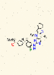 CNC(=O)c1ccc(-c2cc(F)c(Nc3ncc(C)c(N(C(C)=O)c4cnc5ccccc5c4)n3)cc2C)cc1